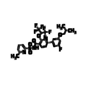 Cc1cccc(S(=O)(=O)NC(=O)c2ccc(-c3cc(F)cc(OCC(C)C)c3)nc2OC(C(F)(F)F)C(F)(F)F)n1